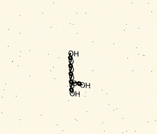 OCc1ccc(OCc2ccc(OCc3ccc(OCc4ccc(OCc5ccc(O)cc5)c(OCc5ccc(O)cc5)c4)cc3)cc2)cc1